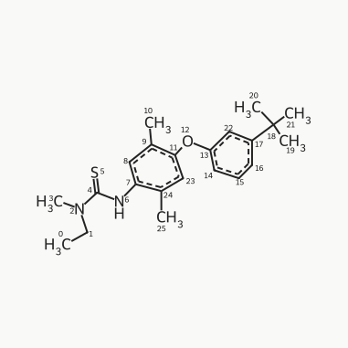 CCN(C)C(=S)Nc1cc(C)c(Oc2cccc(C(C)(C)C)c2)cc1C